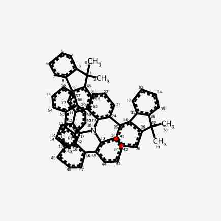 CC1(C)c2ccccc2-c2cc(-c3ccccc3N(c3ccccc3-c3cccc4c3-c3ccccc3C4(C)C)c3ccccc3-c3cccc4oc5c6ccccc6ccc5c34)ccc21